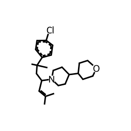 CC(C)=CC(CC(C)(C)c1ccc(Cl)cc1)N1CCC(C2CCOCC2)CC1